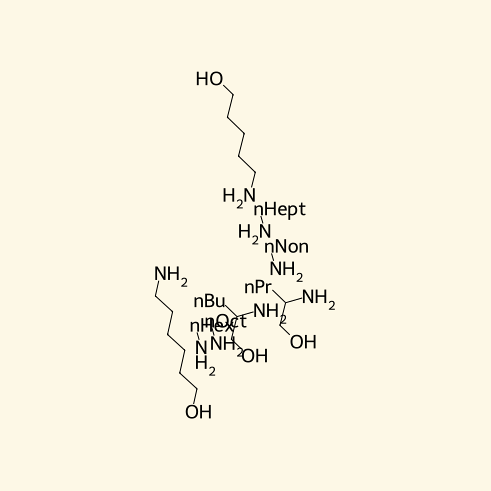 CCCC(N)CO.CCCCC(N)CO.CCCCCCCCCN.CCCCCCCCN.CCCCCCCN.CCCCCCN.NCCCCCCO.NCCCCCO